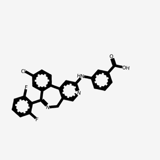 O=C(O)c1cccc(Nc2cc3c(cn2)CN=C(c2c(F)cccc2F)c2cc(Cl)ccc2-3)c1